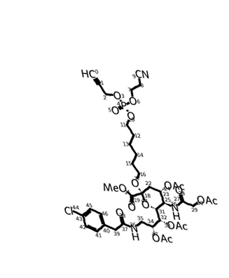 C#CCOP(=O)(OCCC#N)OCCCCCCO[C@]1(C(=O)OC)C[C@H](OC(C)=O)[C@@H](NC(=O)COC(C)=O)[C@H]([C@H](OC(C)=O)[C@@H](CNC(=O)Cc2ccc(Cl)cc2)OC(C)=O)O1